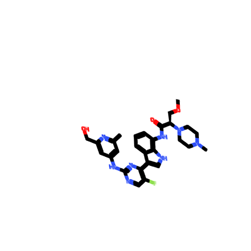 COC[C@H](C(=O)Nc1cccc2c(-c3nc(Nc4cc(C)nc(CO)c4)ncc3F)c[nH]c12)N1CCN(C)CC1